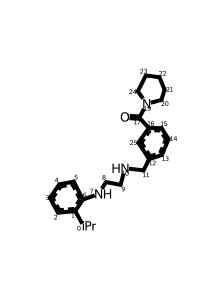 CC(C)c1ccccc1NCCNCc1cccc(C(=O)N2CCCCC2)c1